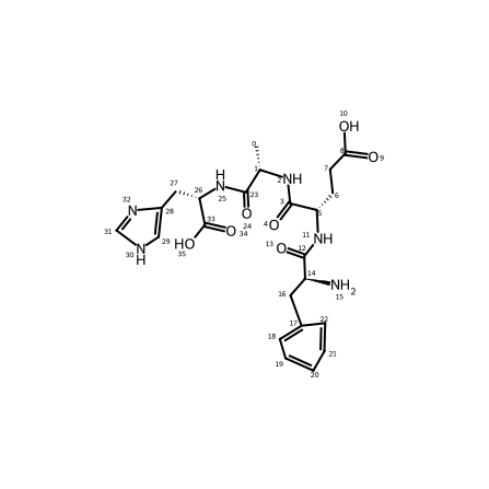 C[C@H](NC(=O)[C@H](CCC(=O)O)NC(=O)[C@@H](N)Cc1ccccc1)C(=O)N[C@@H](Cc1c[nH]cn1)C(=O)O